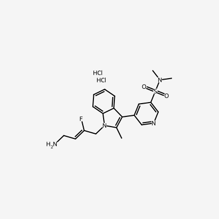 Cc1c(-c2cncc(S(=O)(=O)N(C)C)c2)c2ccccc2n1CC(F)=CCN.Cl.Cl